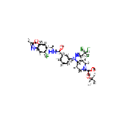 Cc1nc2cc(F)c(CNC(=O)c3cccc(-n4nc(C(F)(F)F)c5c4CCN(C(=O)OC(C)(C)C)C5)c3)cc2o1